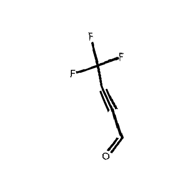 O=CC#CC(F)(F)F